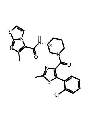 Cc1nc(C(=O)N2CCC[C@@H](NC(=O)c3c(C)nc4sccn34)C2)c(-c2ccccc2Cl)s1